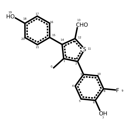 Cc1c(-c2ccc(O)c(F)c2)sc(C=O)c1-c1ccc(O)cc1